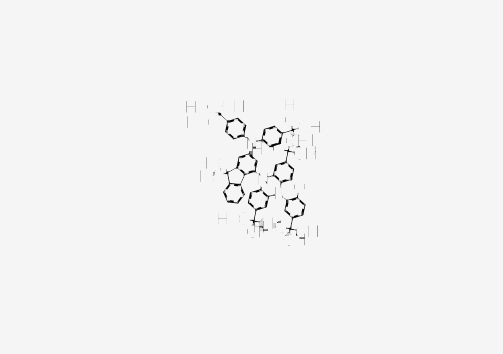 CC(C)(C)c1ccc(N(c2ccc(C(C)(C)C)cc2)c2cc(N3c4ccc(C(C)(C)C)cc4B4c5cc(C(C)(C)C)ccc5Oc5cc(C(C)(C)C)cc3c54)c3c(c2)C(C)(C)c2ccccc2-3)cc1